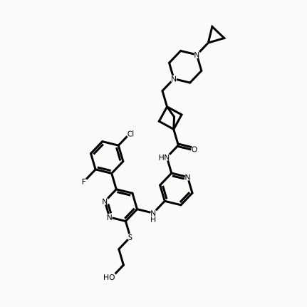 O=C(Nc1cc(Nc2cc(-c3cc(Cl)ccc3F)nnc2SCCO)ccn1)C12CC(CN3CCN(C4CC4)CC3)(C1)C2